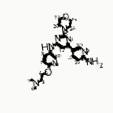 CN(C)CCOc1ccc(Nc2cc(-c3ccc(N)nc3)nc(N3CCOCC3)n2)cn1